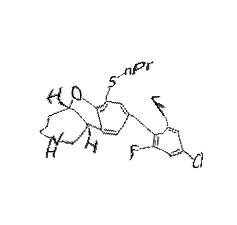 CCCSc1cc(-c2c(F)cc(Cl)cc2F)cc2c1O[C@H]1CCNC[C@@H]21